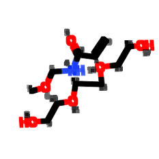 C=CC(=O)NCOC.OCCOCCOCCO